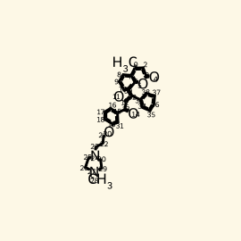 Cc1cc(=O)oc2c1ccc1oc(C(=O)c3cccc(OCCCN4CCN(C)CC4)c3)c(-c3ccccc3)c12